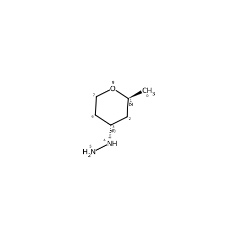 C[C@H]1C[C@H](NN)CCO1